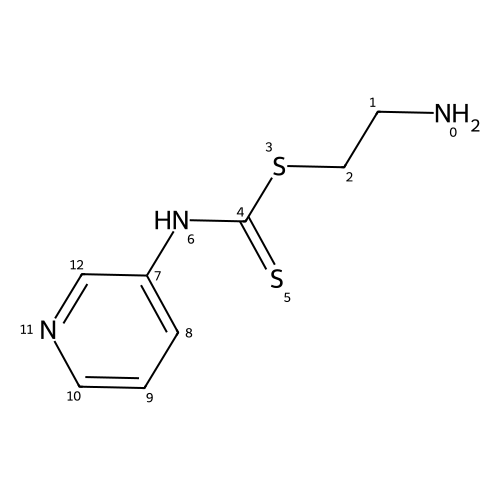 NCCSC(=S)Nc1cccnc1